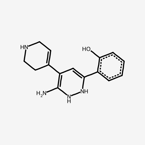 NC1=C(C2=CCNCC2)C=C(c2ccccc2O)NN1